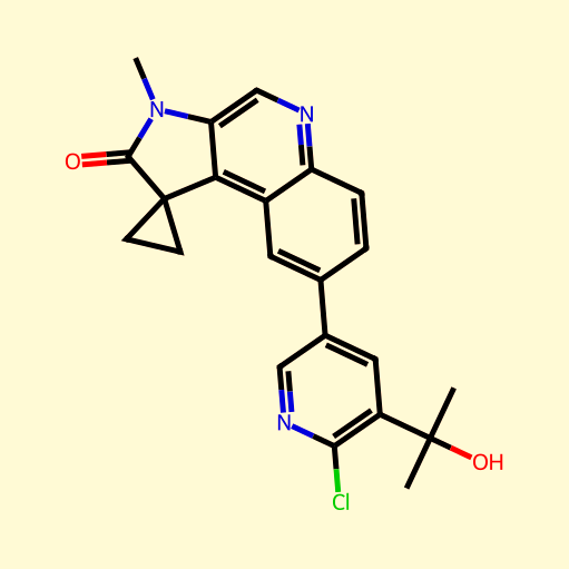 CN1C(=O)C2(CC2)c2c1cnc1ccc(-c3cnc(Cl)c(C(C)(C)O)c3)cc21